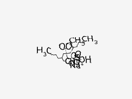 CCCCC(CC)CC(CC(=O)OS(=O)(=O)O)(CC(CC)CCCC)C(=O)[O-].[Na+]